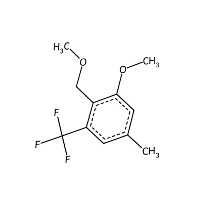 COCc1c(OC)cc(C)cc1C(F)(F)F